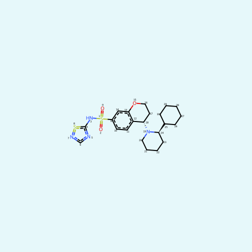 O=S(=O)(Nc1ncns1)c1ccc2c(c1)OCC[C@@H]2N1CCCC[C@@H]1C1CCCCC1